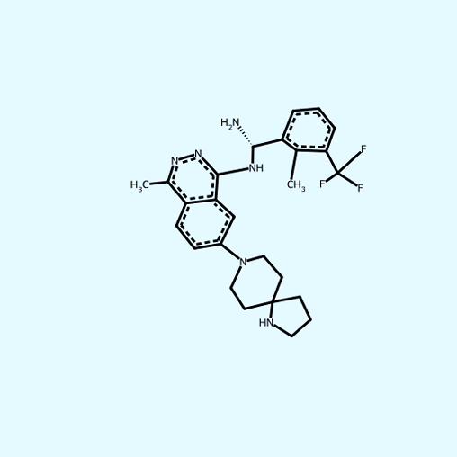 Cc1c([C@@H](N)Nc2nnc(C)c3ccc(N4CCC5(CCCN5)CC4)cc23)cccc1C(F)(F)F